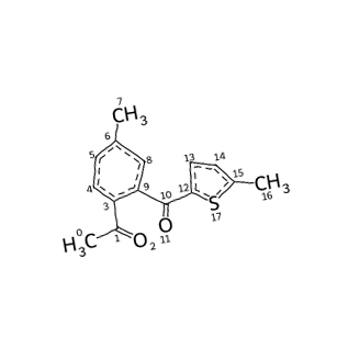 CC(=O)c1ccc(C)cc1C(=O)c1ccc(C)s1